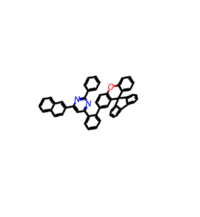 c1ccc(-c2nc(-c3ccc4ccccc4c3)cc(-c3ccccc3-c3ccc4c(c3)C3(c5ccccc5O4)c4ccccc4-c4ccccc43)n2)cc1